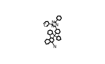 N#Cc1cc2c(c3ccccc13)-c1ccccc1C2(c1ccccc1)c1cccc(-c2nc(-c3ccccc3)nc(-c3ccccc3)n2)c1